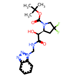 CC(C)(C)OC(=O)N1CC(F)(F)C[C@H]1C(O)C(=O)NCn1nnc2ccccc21